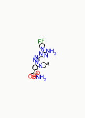 Nc1ncc(-c2cn(-c3ccc(C(=CO)S(N)(=O)=O)cc3N3CCC4(CC3)CC4)nn2)nc1N1CCC(F)(F)CC1